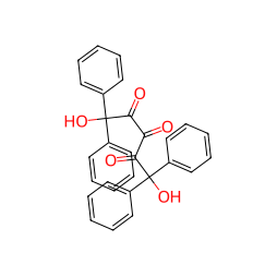 O=C(C(=O)C(O)(c1ccccc1)c1ccccc1)C(=O)C(O)(c1ccccc1)c1ccccc1